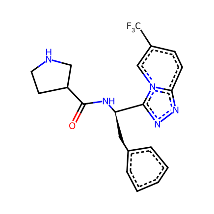 O=C(N[C@H](Cc1ccccc1)c1nnc2ccc(C(F)(F)F)cn12)C1CCNC1